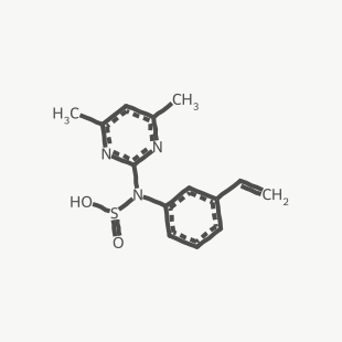 C=Cc1cccc(N(c2nc(C)cc(C)n2)S(=O)O)c1